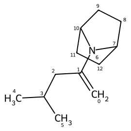 C=C(CC(C)C)N1C2CCC1CC2